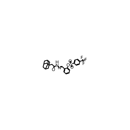 O=C(CC12CC3CC(CC(C3)C1)C2)NN=Cc1ccccc1OS(=O)(=O)c1ccc(C(F)(F)F)cc1